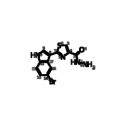 NNC(=O)c1csc(-c2c[nH]c3ccc(Br)cc23)n1